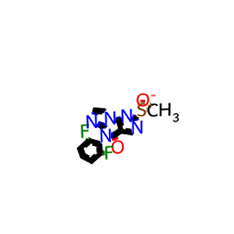 C[S+]([O-])c1ncc2c(=O)n(-c3c(F)cccc3F)c3nccn3c2n1